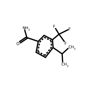 CC(C)c1ccc(C(N)=O)cc1C(F)(F)F